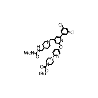 CNC(=O)NCC1CCN(Cc2cc(Oc3ccc(N4CCN(C(=O)OC(C)(C)C)CC4)nc3)nc(-c3cc(Cl)cc(Cl)c3)c2)CC1